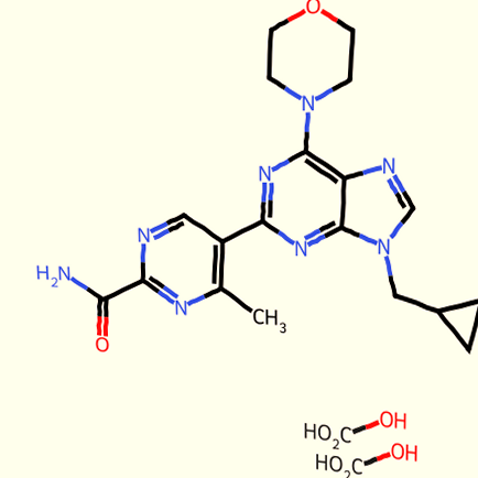 Cc1nc(C(N)=O)ncc1-c1nc(N2CCOCC2)c2ncn(CC3CC3)c2n1.O=C(O)O.O=C(O)O